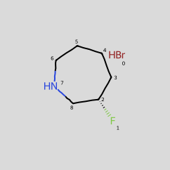 Br.F[C@H]1CCCCNC1